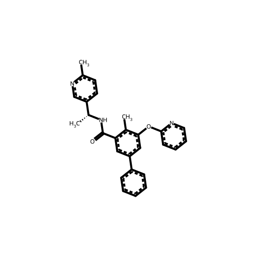 Cc1ccc([C@@H](C)NC(=O)c2cc(-c3ccccc3)cc(Oc3ccccn3)c2C)cn1